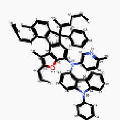 C#C/C=C\c1c(C)ccc2c1-c1c(cc(N(c3ccc(C)nc3)c3cccc4c3c3ccccc3n4-c3ccccc3)c3oc(/C=C\C)c(C)c13)C2(/C(C)=C/C=C\C)c1ccccc1